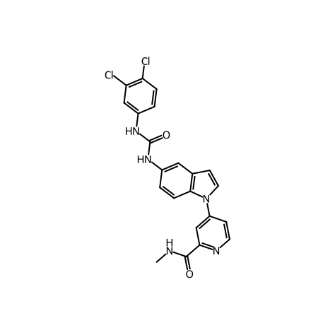 CNC(=O)c1cc(-n2ccc3cc(NC(=O)Nc4ccc(Cl)c(Cl)c4)ccc32)ccn1